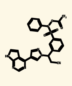 N#CCC(c1cccc(S(=O)(=O)N(OC(=O)C(F)(F)F)c2ccccc2)c1)n1cc(-c2ncnc3[nH]ccc23)cn1